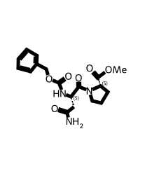 COC(=O)[C@@H]1CCCN1C(=O)[C@H](CC(N)=O)NC(=O)OCc1ccccc1